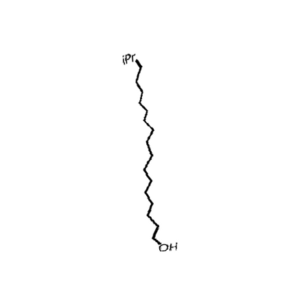 CC(C)CCCCCCCCCCCCCCCCO